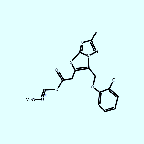 CO/N=C/OC(=O)Cc1sc2nc(C)nn2c1COc1ccccc1Cl